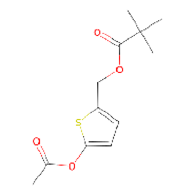 CC(=O)Oc1ccc(COC(=O)C(C)(C)C)s1